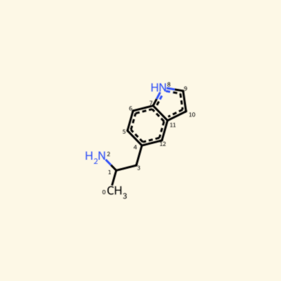 CC(N)Cc1ccc2[nH]ccc2c1